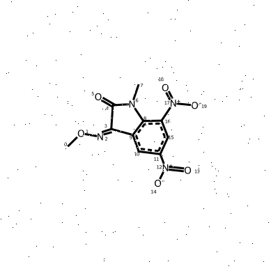 CO/N=C1\C(=O)N(C)c2c1cc([N+](=O)[O-])cc2[N+](=O)[O-]